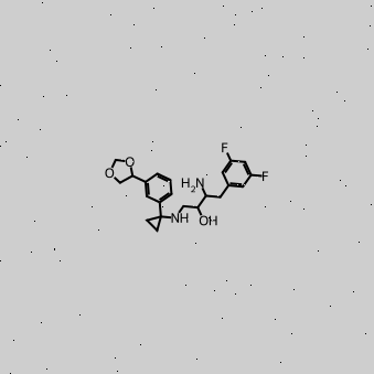 NC(Cc1cc(F)cc(F)c1)C(O)CNC1(c2cccc(C3COCO3)c2)CC1